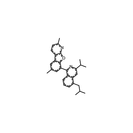 Cc1cc(-c2nc(C(C)C)cc3c(CC(C)C)cccc23)c2oc3nc(C)ccc3c2c1